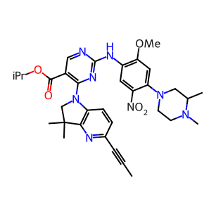 CC#Cc1ccc2c(n1)C(C)(C)CN2c1nc(Nc2cc([N+](=O)[O-])c(N3CCN(C)C(C)C3)cc2OC)ncc1C(=O)OC(C)C